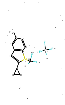 Cc1ccc2c(c1)cc(C1CC1)[s+]2C(F)(F)F.F[B-](F)(F)F